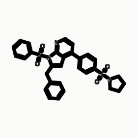 O=S(=O)(c1ccc(-c2ccnc3c2cc(Cc2ccccc2)n3S(=O)(=O)c2ccccc2)cc1)N1CCCC1